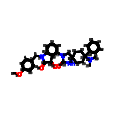 COc1ccc(CN2C(=O)C(=O)c3c(N4CC5(CCC(c6ccccc6)(N(C)C)CC5)NC4=O)cccc32)cc1